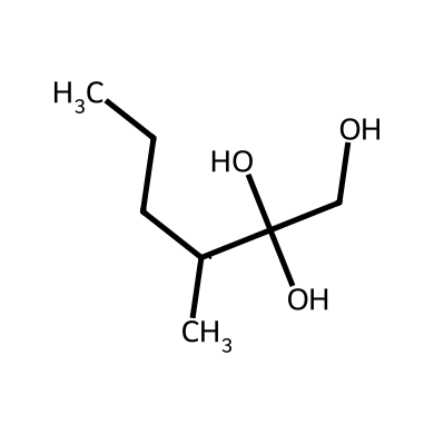 CCC[C](C)C(O)(O)CO